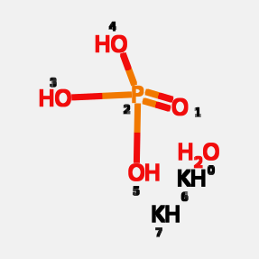 O.O=P(O)(O)O.[KH].[KH]